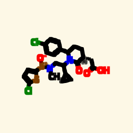 CN(CC(C1CC1)N1C(=O)[C@@H](CC(=O)O)CCC1c1ccc(Cl)cc1)[S+]([O-])c1ccc(Cl)s1